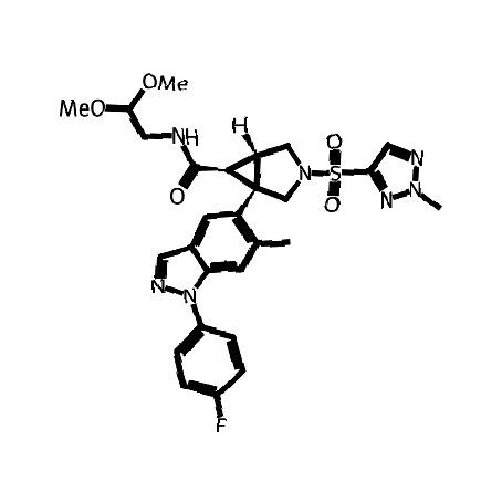 COC(CNC(=O)[C@H]1[C@@H]2CN(S(=O)(=O)c3cnn(C)n3)C[C@@]21c1cc2cnn(-c3ccc(F)cc3)c2cc1C)OC